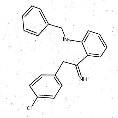 N=C(Cc1ccc(Cl)cc1)c1ccccc1NCc1ccccc1